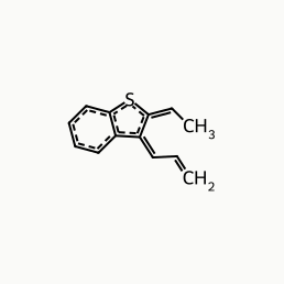 C=C/C=c1\c(=C/C)sc2ccccc12